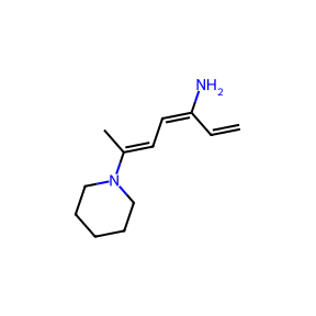 C=C/C(N)=C\C=C(/C)N1CCCCC1